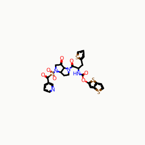 O=C(NC(Cc1cccs1)C(=O)N1CCC2C1C(=O)CN2S(=O)(=O)C(=O)c1cccnc1)Oc1cc2sccc2s1